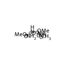 COC(=O)CC(N)c1ccc(NC(=O)Cc2ccc(NC(=O)Nc3ccccc3C)c(OC)c2)cc1